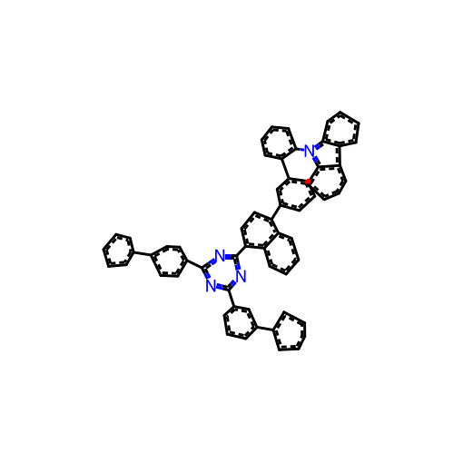 c1ccc(-c2ccc(-c3nc(-c4cccc(-c5ccccc5)c4)nc(-c4ccc(-c5cccc(-c6ccccc6-n6c7ccccc7c7ccccc76)c5)c5ccccc45)n3)cc2)cc1